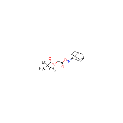 CCC(C)(C)C(=O)OCC(=O)ON=C1C2CC3CC(C2)CC1C3